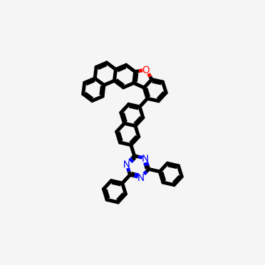 c1ccc(-c2nc(-c3ccccc3)nc(-c3ccc4ccc(-c5cccc6oc7cc8ccc9ccccc9c8cc7c56)cc4c3)n2)cc1